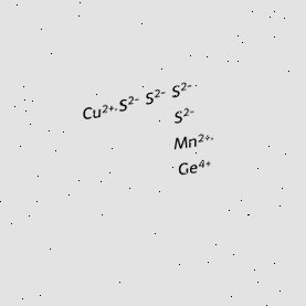 [Cu+2].[Ge+4].[Mn+2].[S-2].[S-2].[S-2].[S-2]